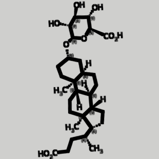 C[C@H](CCC(=O)O)[C@H]1CC[C@H]2[C@@H]3CC[C@@H]4C[C@@H](O[C@@H]5O[C@H](C(=O)O)[C@@H](O)[C@H](O)[C@H]5O)CC[C@]4(C)[C@H]3CC[C@]12C